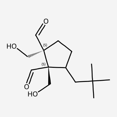 CC(C)(C)CC1CC[C@@](C=O)(CO)[C@]1(C=O)CO